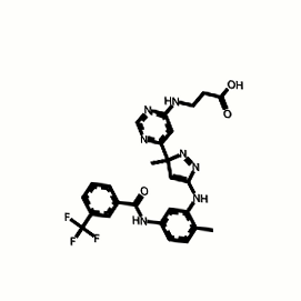 Cc1ccc(NC(=O)c2cccc(C(F)(F)F)c2)cc1NC1=CC(C)(c2cc(NCCC(=O)O)ncn2)N=N1